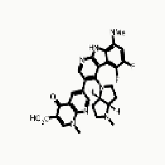 CNc1cc(F)c(F)c2c1[nH]c1ncc(-c3cnc4c(c3)c(=O)c(C(=O)O)cn4C)c(N3CC[C@H]4[C@@H]3CCN4C)c12